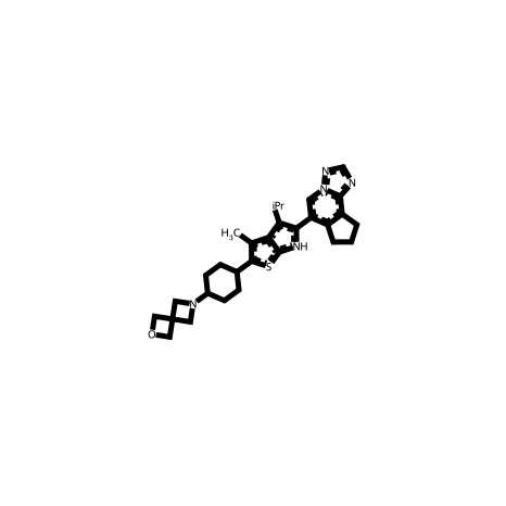 Cc1c(C2CCC(N3CC4(COC4)C3)CC2)sc2[nH]c(-c3cn4ncnc4c4c3CCC4)c(C(C)C)c12